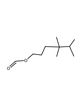 CC(C)C(C)(C)CCCO[C]=O